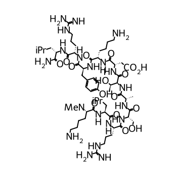 CN[C@@H](CCCCN)C(=O)N[C@@H](CC(C)C)C(=O)N[C@@H](CCCNC(=N)N)C(=O)N[C@@H](CO)C(=O)N[C@@H](C)C(=O)N[C@H](C(=O)N[C@@H](CC(=O)O)C(=O)N[C@@H](CCCCN)C(=O)N[C@@H](Cc1ccc(O)cc1)C(=O)N[C@@H](CCCNC(=N)N)C(=O)N[C@@H](CC(C)C)C(N)=O)[C@@H](C)O